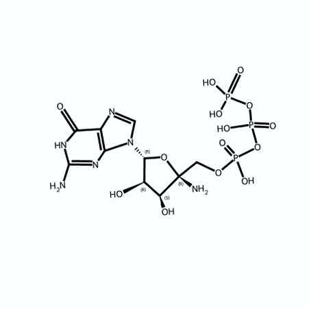 Nc1nc2c(ncn2[C@@H]2O[C@](N)(COP(=O)(O)OP(=O)(O)OP(=O)(O)O)[C@@H](O)[C@H]2O)c(=O)[nH]1